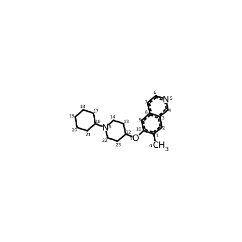 Cc1cc2cnccc2cc1OC1CCN(C2CCCCC2)CC1